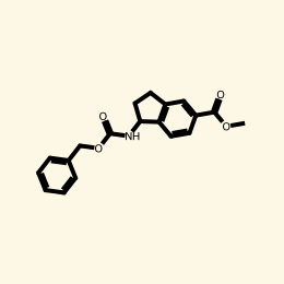 COC(=O)c1ccc2c(c1)CCC2NC(=O)OCc1ccccc1